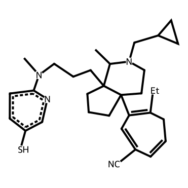 CCC1=C(C23CCCC2(CCCN(C)c2ccc(S)cn2)C(C)N(CC2CC2)CC3)C=C(C#N)C=CC1